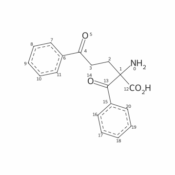 NC(CCC(=O)c1ccccc1)(C(=O)O)C(=O)c1ccccc1